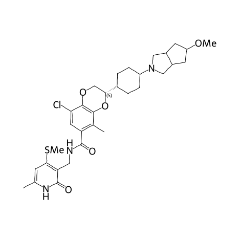 COC1CC2CN(C3CCC([C@H]4COc5c(Cl)cc(C(=O)NCc6c(SC)cc(C)[nH]c6=O)c(C)c5O4)CC3)CC2C1